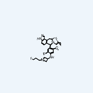 COc1cc(NC2CN(CCCF)C2)c(F)cc1C1c2ccc3[nH]ncc3c2C[C@@H](C)N1CC1(F)CC1